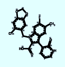 Cc1cc2c(-c3ccc[nH]c3=O)c(C(=O)O)n(Cc3cc4c(cc3Cl)OCO4)c2cc1F